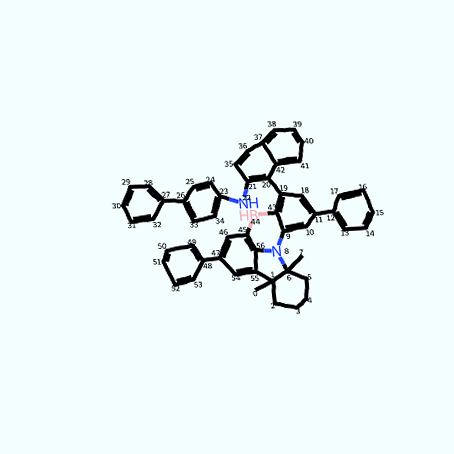 CC12CCCCC1(C)N1c3cc(-c4ccccc4)cc(-c4c(Nc5ccc(-c6ccccc6)cc5)ccc5ccccc45)c3Bc3cc(-c4ccccc4)cc2c31